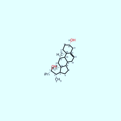 CC(C)[C@H](O)[C@@H](C)C1CCC2C3CC=C4C[C@@H](O)CC[C@]4(C)C3CC[C@@]21C